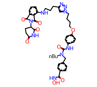 CCCCN(Cc1ccc(C(=O)NO)cc1)C(=O)Nc1ccc(OCCCCn2cc(CCCNc3cccc4c3C(=O)N(C3CCC(=O)NC3=O)C4=O)nn2)cc1